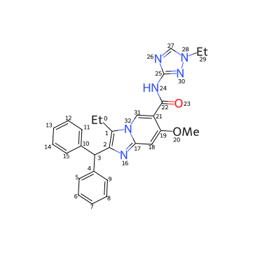 CCc1c(C(c2ccccc2)c2ccccc2)nc2cc(OC)c(C(=O)Nc3ncn(CC)n3)cn12